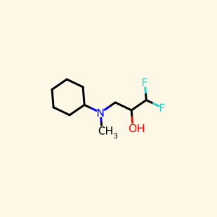 CN(CC(O)C(F)F)C1CCCCC1